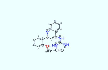 CC(C)Oc1ccccc1-c1cc(NC(=N)NC=O)c2ccccc2n1